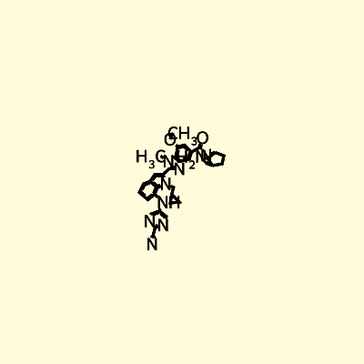 COc1cc(C(=O)N2CC3CCC2C3N)cc2nc(-c3cc4cccc(Nc5cnc(C#N)nc5)c4n3CC3CC3)n(C)c12